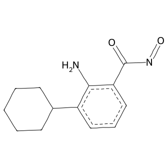 Nc1c(C(=O)N=O)cccc1C1CCCCC1